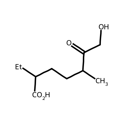 CCC(CCC(C)C(=O)CO)C(=O)O